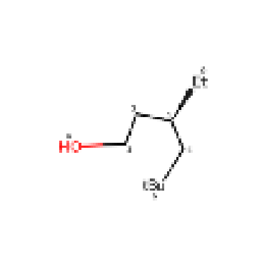 CC[C@H](CCO)CC(C)(C)C